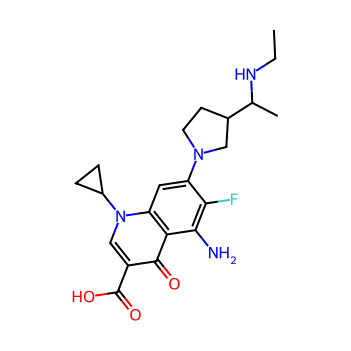 CCNC(C)C1CCN(c2cc3c(c(N)c2F)c(=O)c(C(=O)O)cn3C2CC2)C1